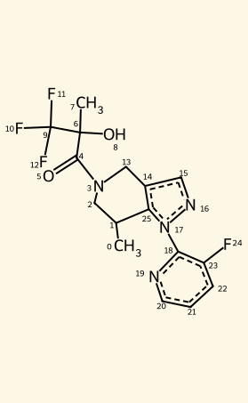 CC1CN(C(=O)C(C)(O)C(F)(F)F)Cc2cnn(-c3ncccc3F)c21